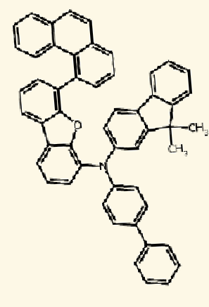 CC1(C)c2ccccc2-c2ccc(N(c3ccc(-c4ccccc4)cc3)c3cccc4c3oc3c(-c5cccc6ccc7ccccc7c56)cccc34)cc21